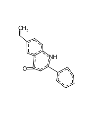 C=Cc1ccc2[nH]c(-c3ccccc3)cc(=O)c2c1